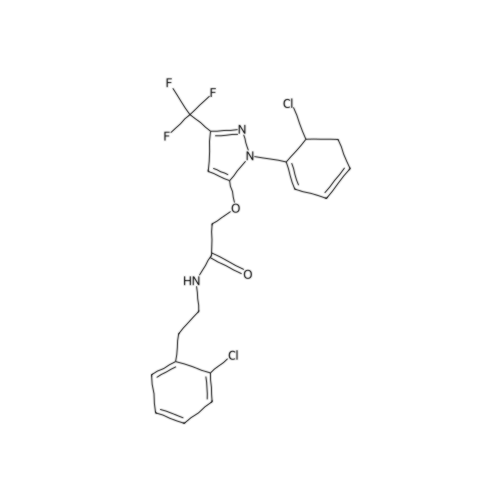 O=C(COc1cc(C(F)(F)F)nn1C1=CC=CCC1Cl)NCCc1ccccc1Cl